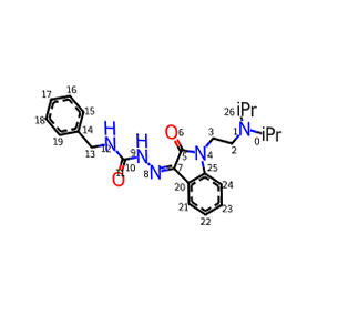 CC(C)N(CCN1C(=O)C(=NNC(=O)NCc2ccccc2)c2ccccc21)C(C)C